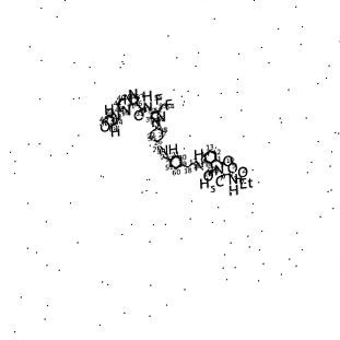 CCC(=O)NC(=O)C(C)N1C(=O)c2cccc(NCCc3ccc(CNC[C@H]4CC[C@H](n5cc(NC(=O)c6cnn7ccc(N8C[C@H]9C[C@@H]8CO9)nc67)c(C(F)F)n5)CC4)cc3)c2C1=O